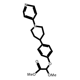 COC(=O)C(OC)Oc1ccc(C2CCN(c3ccncc3)CC2)cc1